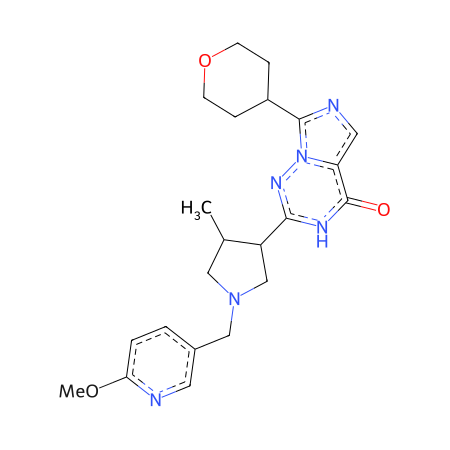 COc1ccc(CN2CC(C)C(c3nn4c(C5CCOCC5)ncc4c(=O)[nH]3)C2)cn1